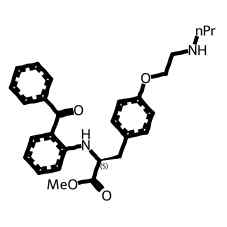 CCCNCCOc1ccc(C[C@H](Nc2ccccc2C(=O)c2ccccc2)C(=O)OC)cc1